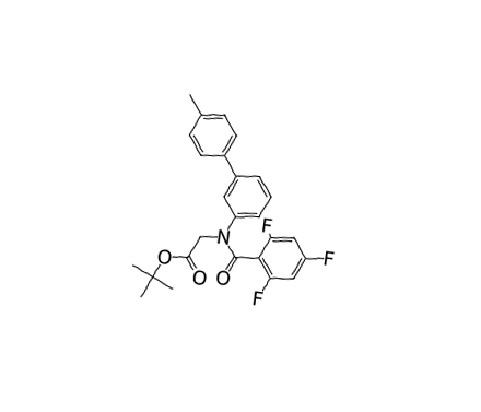 Cc1ccc(-c2cccc(N(CC(=O)OC(C)(C)C)C(=O)c3c(F)cc(F)cc3F)c2)cc1